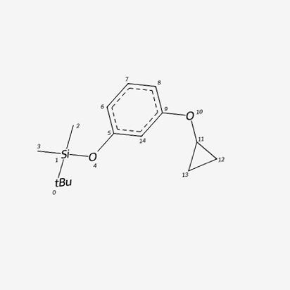 CC(C)(C)[Si](C)(C)Oc1cccc(OC2CC2)c1